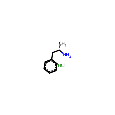 C[C@H](N)Cc1ccccc1.Cl